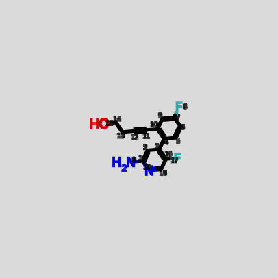 Nc1cc(-c2ccc(F)cc2C#CCCO)c(F)cn1